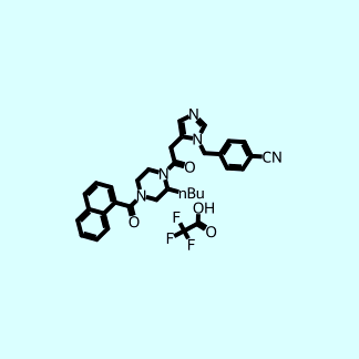 CCCCC1CN(C(=O)c2cccc3ccccc23)CCN1C(=O)Cc1cncn1Cc1ccc(C#N)cc1.O=C(O)C(F)(F)F